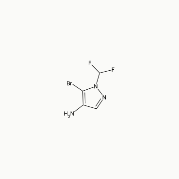 Nc1cnn(C(F)F)c1Br